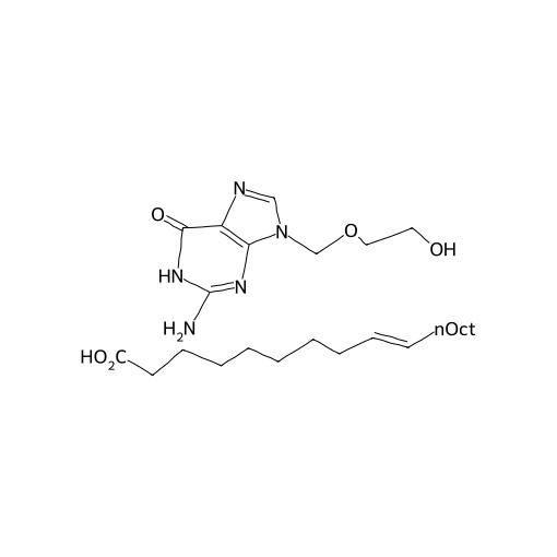 CCCCCCCC/C=C/CCCCCCCC(=O)O.Nc1nc2c(ncn2COCCO)c(=O)[nH]1